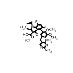 C=Cc1c(C(=O)O)c(=O)c2c(-c3cc(Cc4cnc(N)nc4N)cc(OC)c3OC)c(F)cc(F)c2n1C1CC1.Cl